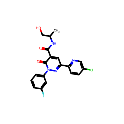 CC(CO)NC(=O)c1cc(-c2ccc(Cl)cn2)nn(-c2cccc(F)c2)c1=O